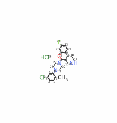 Cc1ccc(Cl)cc1N1CCN(C(=O)[C@@H]2CNCC[C@@H]2c2ccc(F)cc2)CC1.Cl